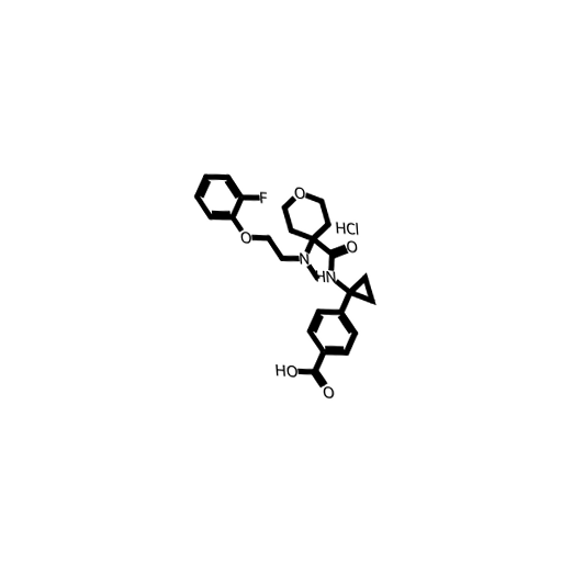 CN(CCOc1ccccc1F)C1(C(=O)NC2(c3ccc(C(=O)O)cc3)CC2)CCOCC1.Cl